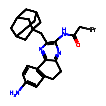 CC(C)CC(=O)Nc1nc2c(nc1CC13CC4CC(CC(C4)C1)C3)-c1ccc(N)cc1CC2